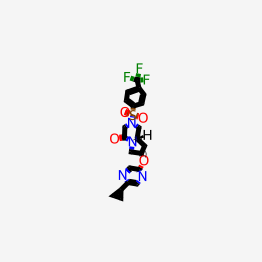 O=C1CN(S(=O)(=O)c2ccc(C(F)(F)F)cc2)C[C@@H]2C[C@@H](Oc3cnc(C4CC4)cn3)CN12